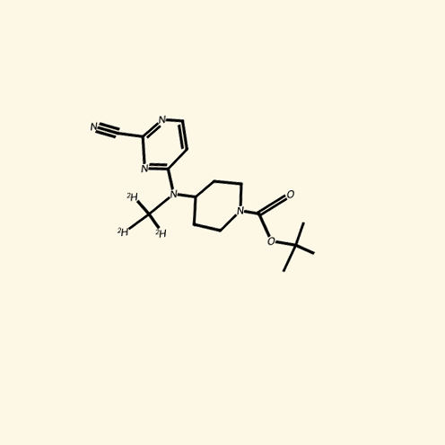 [2H]C([2H])([2H])N(c1ccnc(C#N)n1)C1CCN(C(=O)OC(C)(C)C)CC1